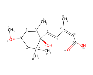 CO[C@@H]1C=C(C)[C@](O)(/C=C/C(C)=C\C(=O)O)C(C)(C)C1